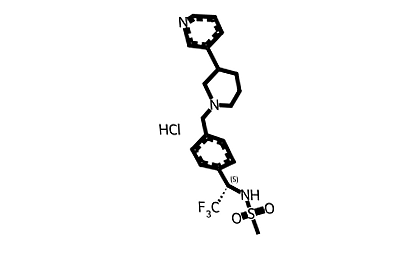 CS(=O)(=O)N[C@@H](c1ccc(CN2CCCC(c3cccnc3)C2)cc1)C(F)(F)F.Cl